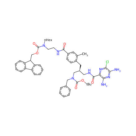 CCCCCCN(CCNC(=O)c1ccc(C[C@@H](CNC(=O)c2nc(Cl)c(N)nc2N)CN(Cc2ccccc2)C(=O)OC(C)(C)C)c(C)c1)C(=O)OCC1c2ccccc2-c2ccccc21